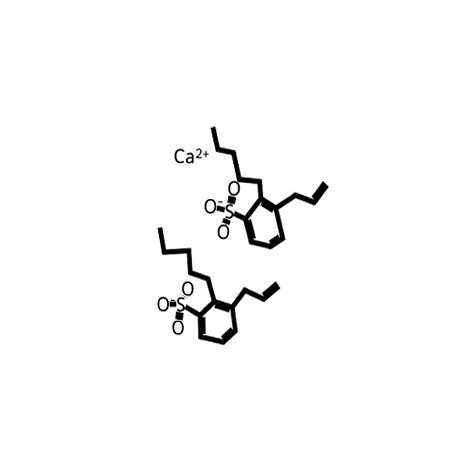 C=CCc1cccc(S(=O)(=O)[O-])c1CCCCC.C=CCc1cccc(S(=O)(=O)[O-])c1CCCCC.[Ca+2]